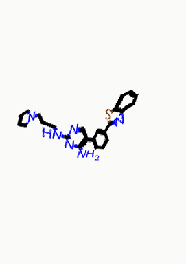 Nc1nc(NCCCN2CC=CC2)ncc1-c1cccc(-c2nc3ccccc3s2)c1